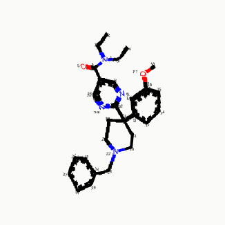 CCN(CC)C(=O)c1cnc(C2(c3cccc(OC)c3)CCN(Cc3ccccc3)CC2)nc1